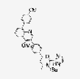 CCC(C)N(C(=O)c1ncc[nH]1)C(C)CCc1ccc(-c2cnc3c(-c4ccc(C#N)cc4)cccc3c2OC)cc1